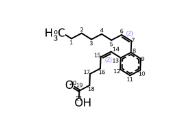 CCCCCC/C=C\c1ccccc1/C=C\CCCC(=O)O